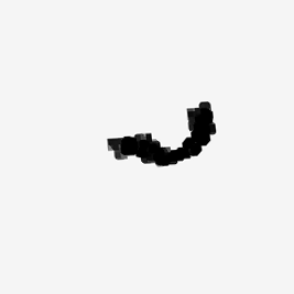 C[C@@H]1CN(c2ccc(C#N)c(Cl)c2)[C@@H](C)CN1C(=O)Nc1ccc(OCCCCN2CCN(c3ccc4c(c3)C(=O)N(C3CCC(=O)NC3=O)C4=O)CC2)nc1